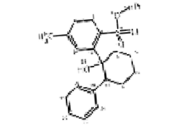 CCCOS(=O)(=O)c1ccc(C)cc1C1(O)CCCCC1c1ccccc1